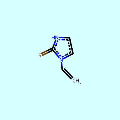 C=Cn1cc[nH]c1=S